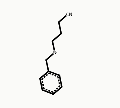 N#CCCC[N]Cc1ccccc1